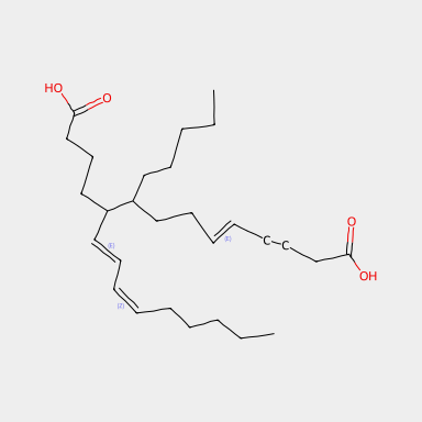 CCCCC/C=C\C=C\C(CCCC(=O)O)C(CC/C=C/CCCC(=O)O)CCCCC